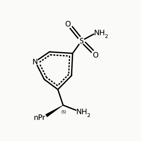 CCC[C@H](N)c1cncc(S(N)(=O)=O)c1